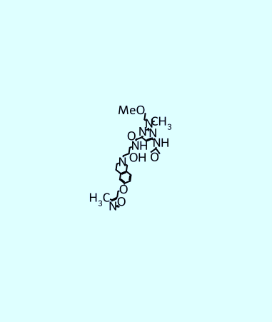 COCCN(C)c1nc(NC2COC2)cc(C(=O)NCC(O)CN2CCc3cc(OCc4ocnc4C)ccc3C2)n1